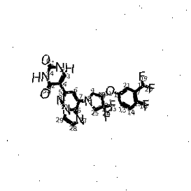 O=c1[nH]cc(-c2cc(N3C[C@H](Oc4ccc(F)c(C(F)F)c4)C(F)(F)C3)c3nccn3n2)c(=O)[nH]1